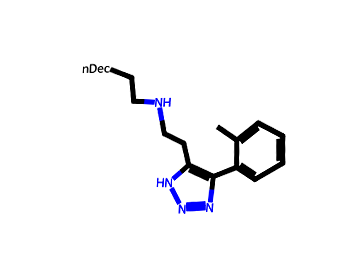 CCCCCCCCCCCCNCCc1[nH]nnc1-c1ccccc1C